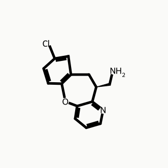 NC[C@@H]1Cc2cc(Cl)ccc2Oc2cccnc21